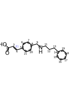 O=C(O)/C=C/c1ccc(CNCCCc2ccccc2)cc1